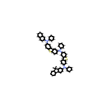 CC1(C)c2ccccc2-c2ccc(N(c3ccccc3)c3ccc4c(c3)sc3ccc(N(c5ccccc5)c5ccc6sc7ccc(N(c8ccccc8)c8ccc9ccccc9c8)cc7c6c5)cc34)cc21